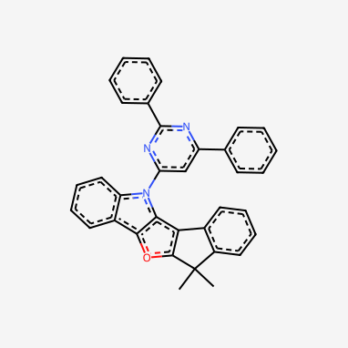 CC1(C)c2ccccc2-c2c1oc1c3ccccc3n(-c3cc(-c4ccccc4)nc(-c4ccccc4)n3)c21